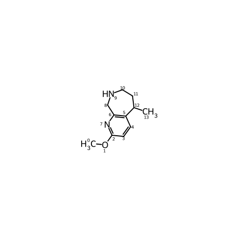 COc1ccc2c(n1)CNCCC2C